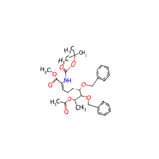 COC(=O)C(=CCCC(OCc1ccccc1)C(OCc1ccccc1)C(C)OC(C)=O)NC(=O)OC(C)(C)C